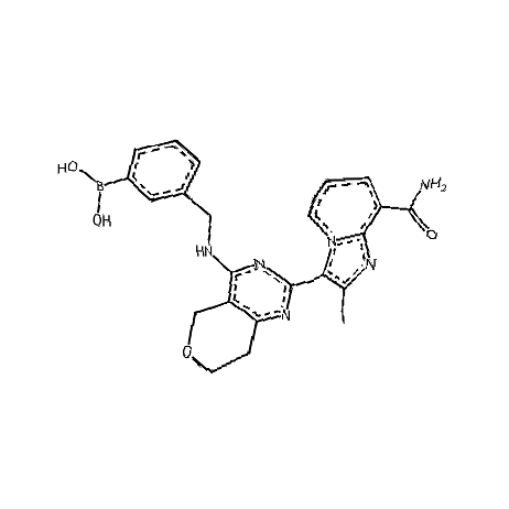 Cc1nc2c(C(N)=O)cccn2c1-c1nc2c(c(NCc3cccc(B(O)O)c3)n1)COCC2